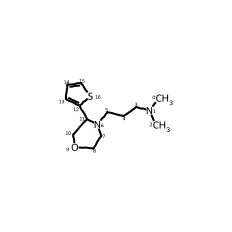 CN(C)CCCN1CCOCC1c1cccs1